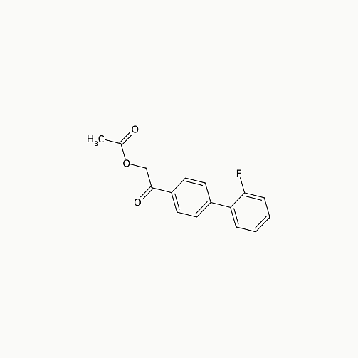 CC(=O)OCC(=O)c1ccc(-c2ccccc2F)cc1